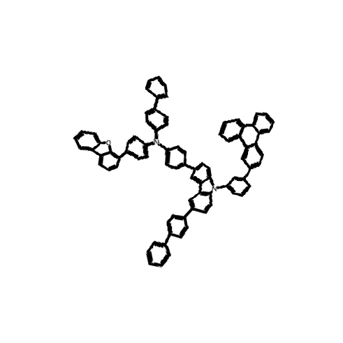 c1ccc(-c2ccc(-c3ccc4c(c3)c3cc(-c5ccc(N(c6ccc(-c7ccccc7)cc6)c6ccc(-c7cccc8c7oc7ccccc78)cc6)cc5)ccc3n4-c3cccc(-c4ccc5c6ccccc6c6ccccc6c5c4)c3)cc2)cc1